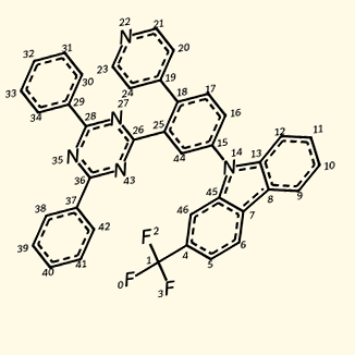 FC(F)(F)c1ccc2c3ccccc3n(-c3ccc(-c4ccncc4)c(-c4nc(-c5ccccc5)nc(-c5ccccc5)n4)c3)c2c1